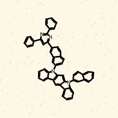 c1ccc(-c2cc(-c3ccc4ccc(-n5c6ccccc6c6cc7c8ccccc8n(-c8ccc9ccccc9c8)c7cc65)cc4c3)nc(-c3ccccc3)n2)cc1